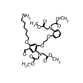 COC(=O)CN(CC(=O)OC)c1ccccc1OCCOc1cc(OCCCCCCN)c(C=O)cc1N(CC(=O)OC)CC(=O)OC